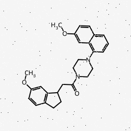 COc1ccc2c(c1)C(CC(=O)N1CCN(c3cccc4ccc(OC)cc34)CC1)CC2